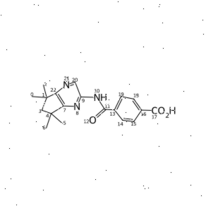 CC1(C)CC(C)(C)c2nc(NC(=O)c3ccc(C(=O)O)cc3)cnc21